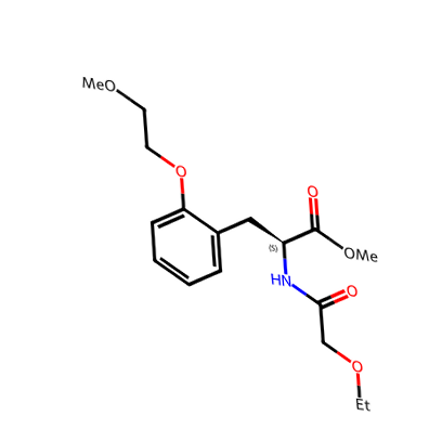 CCOCC(=O)N[C@@H](Cc1ccccc1OCCOC)C(=O)OC